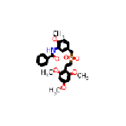 COc1cc(OC)c(C=CS(=O)(=O)Cc2ccc(OC)c(NC(=O)c3ccccc3)c2)c(OC)c1